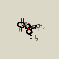 C=CCc1cc(C)ccc1O[C@H]1C[C@H]2CC[C@@H](C1)N2c1ccc(C(F)(F)F)cn1